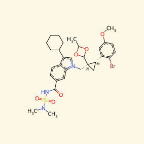 COc1ccc(Br)c([C@@H]2C[C@@]2(Cn2cc(C3CCCCC3)c3ccc(C(=O)NS(=O)(=O)N(C)C)cc32)C2OC(C)O2)c1